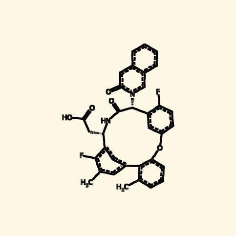 Cc1cc2cc(c1F)[C@H](CC(=O)O)NC(=O)[C@H](n1cc3ccccc3cc1=O)c1cc(ccc1F)Oc1cccc(C)c1-2